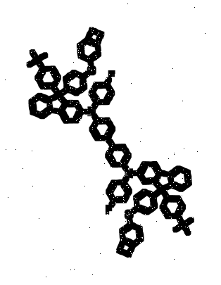 CC(C)(C)c1ccc(C2(c3ccc(Oc4ccc5c(c4)CC5)cc3)c3ccccc3-c3ccc(N(c4ccc(F)cc4)c4ccc(-c5ccc(N(c6ccc(F)cc6)c6ccc7c(c6)C(c6ccc(Oc8ccc9c(c8)CC9)cc6)(c6ccc(C(C)(C)C)cc6)c6ccccc6-7)cc5)cc4)cc32)cc1